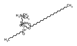 CCCCCCCCCCCCCCCCCCCCCCC(=O)O[C@H](COC(=O)CCCCCCCC)COP(=O)(O)OCC[N+](C)(C)C